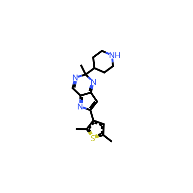 Cc1cc(C2=CC3=NC(C)(C4CCNCC4)N=CC3=N2)c(C)s1